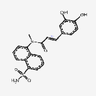 CN(C(=O)/C=C/c1ccc(O)c(O)c1)c1cccc2c(S(N)(=O)=O)cccc12